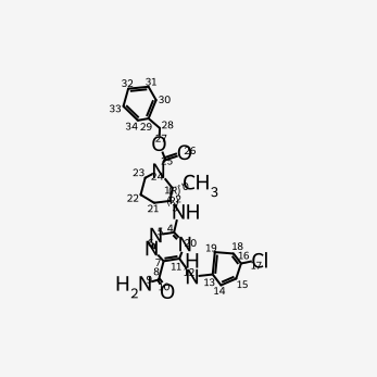 C[C@@H]1[C@H](Nc2nnc(C(N)=O)c(Nc3ccc(Cl)cc3)n2)CCCN1C(=O)OCc1ccccc1